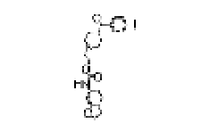 O=C(Nc1ccc2ccoc2c1)OCCN1CCC(C(=O)c2ccc(I)cc2)CC1